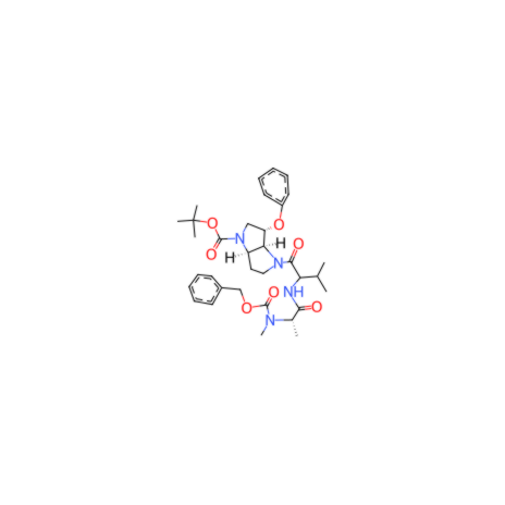 CC(C)C(NC(=O)[C@H](C)N(C)C(=O)OCc1ccccc1)C(=O)N1CC[C@@H]2[C@H]1[C@@H](Oc1ccccc1)CN2C(=O)OC(C)(C)C